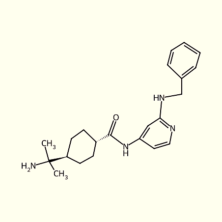 CC(C)(N)[C@H]1CC[C@H](C(=O)Nc2ccnc(NCc3ccccc3)c2)CC1